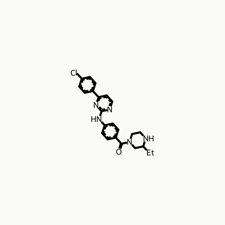 CCC1CN(C(=O)c2ccc(Nc3nccc(-c4ccc(Cl)cc4)n3)cc2)CCN1